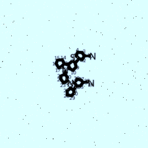 N#Cc1ccc2sc3c(ccc4c3c3ccccc3n4-c3cccc(-n4c5ccccc5c5cc(C#N)ccc54)c3)c2c1